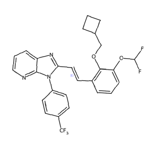 FC(F)Oc1cccc(/C=C/c2nc3cccnc3n2-c2ccc(C(F)(F)F)cc2)c1OCC1CCC1